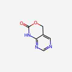 O=C1Nc2ncncc2CO1